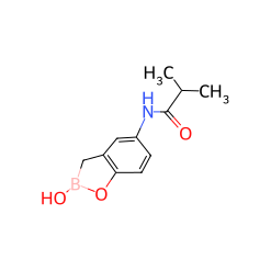 CC(C)C(=O)Nc1ccc2c(c1)CB(O)O2